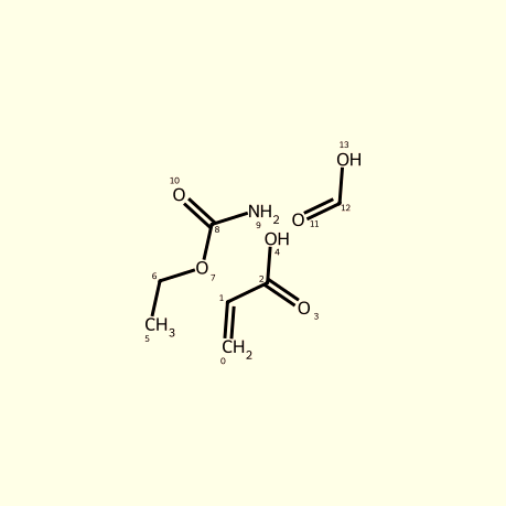 C=CC(=O)O.CCOC(N)=O.O=CO